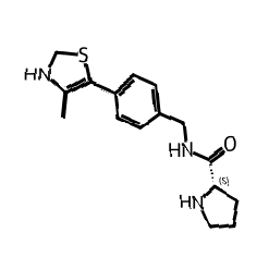 CC1=C(c2ccc(CNC(=O)[C@@H]3CCCN3)cc2)SCN1